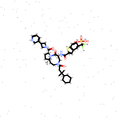 CC(C)(CC(=O)N1CC[C@H]2CC[C@@H](C(=O)N3CC(c4cccnc4)C3)N2C(=O)[C@@H](NC(=O)c2cc3cc(C(F)(F)P(=O)(O)O)ccc3s2)C1)C1CCCCC1